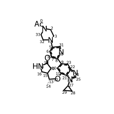 CC(=O)N1CCN(c2ccc(-c3cc(O[C@H](C)C4CNC(=O)C4)c4c(c3)ncn4C3CC3)nc2)CC1